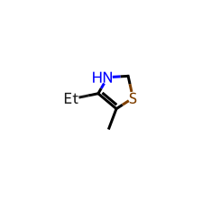 CCC1=C(C)SCN1